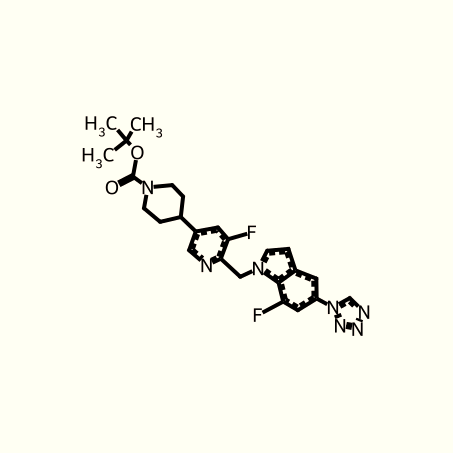 CC(C)(C)OC(=O)N1CCC(c2cnc(Cn3ccc4cc(-n5cnnn5)cc(F)c43)c(F)c2)CC1